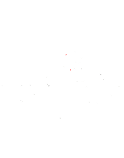 CC1=Cc2c(-c3cccc4cccnc34)cccc2[CH]1[Zr](=[SiH2])([c]1ccccc1)([c]1ccccc1)[CH]1C(C)=Cc2c(-c3cccc4cccnc34)cccc21.Cl.Cl